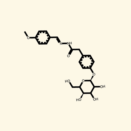 COc1ccc(/C=N/NC(=O)Cc2ccc(O[C@@H]3OC(CO)[C@H](O)C(O)C3O)cc2)cc1